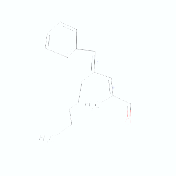 CCCCCC(/C=C(\C)C=O)=C\c1ccccc1